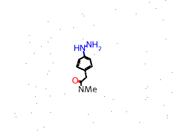 CNC(=O)Cc1ccc(NN)cc1